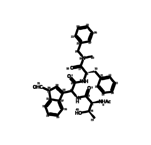 CC(=O)N[C@H](C(=O)NC(C(=O)N[C@@H](Cc1ccccc1)C(=O)N(C)Cc1ccccc1)c1cn(C=O)c2ccccc12)[C@@H](C)O